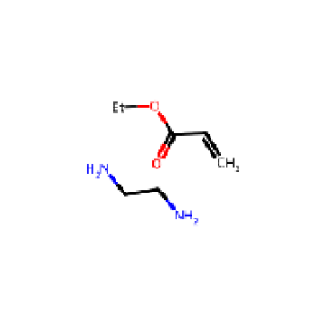 C=CC(=O)OCC.NCCN